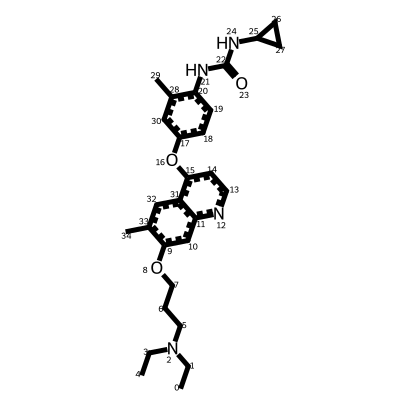 CCN(CC)CCCOc1cc2nccc(Oc3ccc(NC(=O)NC4CC4)c(C)c3)c2cc1C